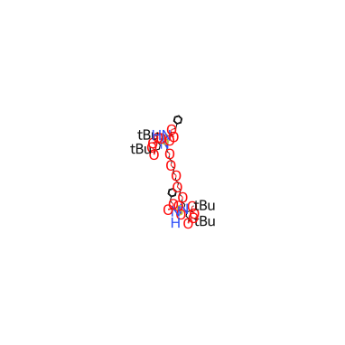 CC(C)(C)OC(=O)CC(C(=O)OC(C)(C)C)N(CCOCCOCCOCCOCCOCCN(C(CC(=O)OC(C)(C)C)C(=O)OC(C)(C)C)S(=O)(=O)NC(=O)OCc1ccccc1)S(=O)(=O)NC(=O)OCc1ccccc1